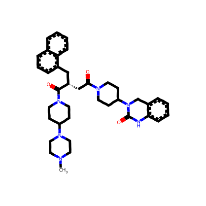 CN1CCN(C2CCN(C(=O)[C@@H](CC(=O)N3CCC(N4Cc5ccccc5NC4=O)CC3)Cc3cccc4ccccc34)CC2)CC1